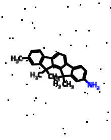 Cc1ccc2c(c1)C(C)(C)c1c-2ccc2c1C(C)(C)c1cc(N)ccc1-2